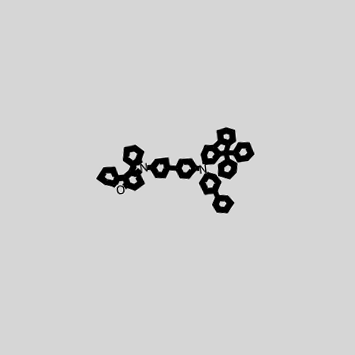 c1ccc(-c2ccc(N(c3ccc(-c4ccc(-n5c6ccccc6c6c7c(ccc65)oc5ccccc57)cc4)cc3)c3ccc4c(c3)C(c3ccccc3)(c3ccccc3)c3ccccc3-4)cc2)cc1